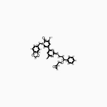 Cc1cc(-c2cc(F)c(=O)n(Cc3ccc4c(c3)OCO4)c2)nc(SCCC(OCC2CO2)c2ccccc2)n1